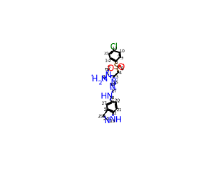 CN(N)/C(CS(=O)(=O)c1ccc(Cl)cc1)=N\N=C\Nc1ccc2[nH]ncc2c1